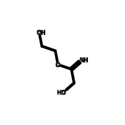 N=C(CO)OCCO